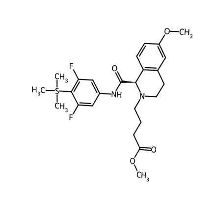 COC(=O)CCCN1CCc2cc(OC)ccc2[C@@H]1C(=O)Nc1cc(F)c(S(C)(C)C)c(F)c1